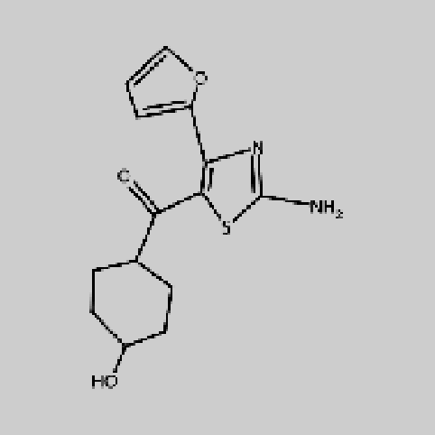 Nc1nc(-c2ccco2)c(C(=O)C2CCC(O)CC2)s1